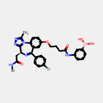 CCNC(=O)C[C@@H]1N=C(c2ccc(Cl)cc2)c2cc(OCCCC(=O)Nc3cccc(B(O)O)c3)ccc2-n2c(C)nnc21